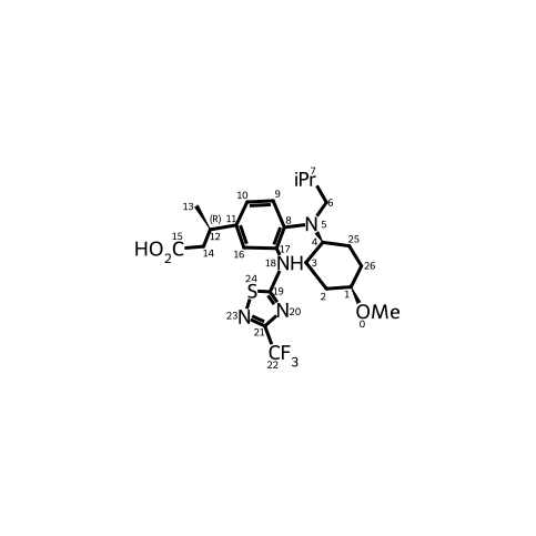 CO[C@H]1CC[C@@H](N(CC(C)C)c2ccc([C@H](C)CC(=O)O)cc2Nc2nc(C(F)(F)F)ns2)CC1